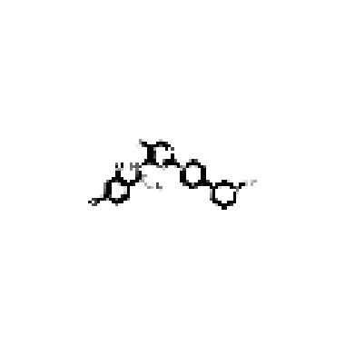 CC(C)N1CCCC(C2CCN(c3ncc(Cl)c(N[C@H](C)c4ccc(Cl)cc4Cl)n3)CC2)C1